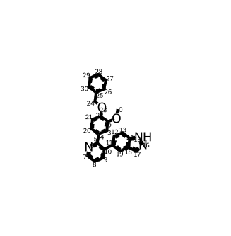 COc1cc(-c2ncccc2-c2ccc3[nH]ncc3c2)ccc1OCc1ccccc1